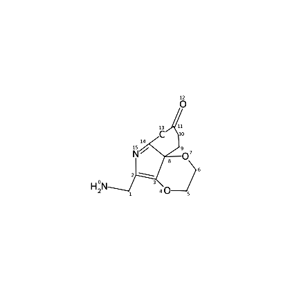 NCC1=C2OCCOC23CCC(=O)CC3=N1